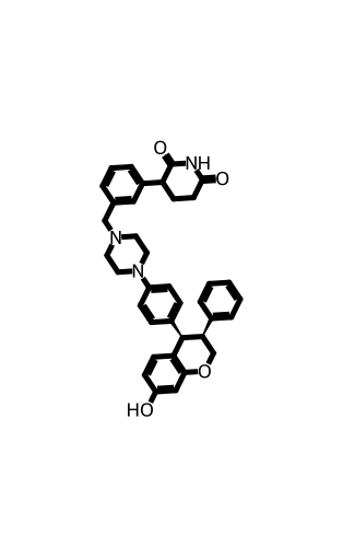 O=C1CCC(c2cccc(CN3CCN(c4ccc([C@@H]5c6ccc(O)cc6OC[C@@H]5c5ccccc5)cc4)CC3)c2)C(=O)N1